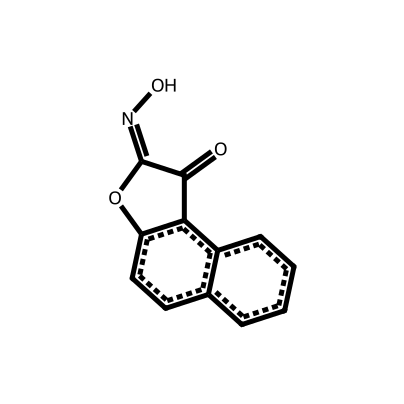 O=C1C(=NO)Oc2ccc3ccccc3c21